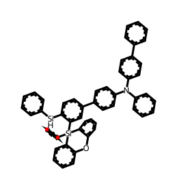 c1ccc(-c2ccc(N(c3ccccc3)c3ccc(-c4ccc5c(c4)[Si]4(c6ccccc6Oc6ccccc64)c4ccccc4[SiH]5c4ccccc4)cc3)cc2)cc1